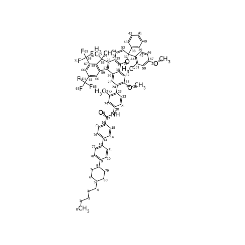 CCCCCC1CCC(c2ccc(-c3ccc(C(=O)Nc4ccc(-c5cc6c7c(c8c(c6cc5OC)OC(c5ccccc5)(c5ccc(OC)cc5C)C=C8)C(C)(C)c5c-7cc(C(F)(F)F)cc5C(F)(F)F)c(C)c4)cc3)cc2)CC1